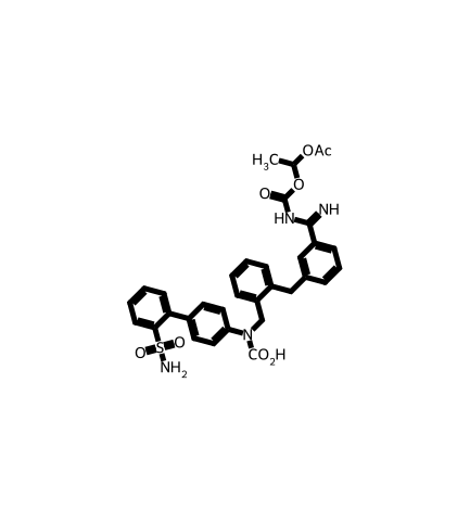 CC(=O)OC(C)OC(=O)NC(=N)c1cccc(Cc2ccccc2CN(C(=O)O)c2ccc(-c3ccccc3S(N)(=O)=O)cc2)c1